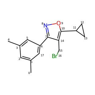 Cc1cc(C)cc(-c2noc(C3CC3)c2CBr)c1